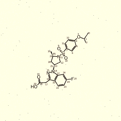 CC(C)Oc1ccc(S(=O)(=O)N2C[C@@H](n3nc(CC(=O)O)c4ccc(F)cc43)C[C@H]2C)cc1